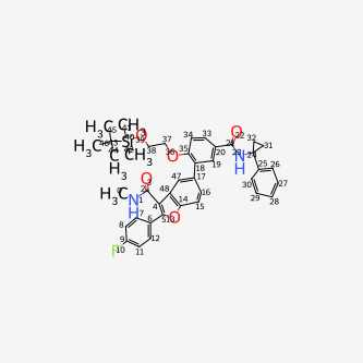 CNC(=O)c1c(-c2ccc(F)cc2)oc2ccc(-c3cc(C(=O)NC4(c5ccccc5)CC4)ccc3OCCO[Si](C)(C)C(C)(C)C)cc12